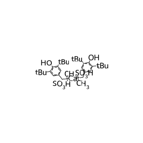 CC(C)(C)c1cc(C[C](C)([Ca][C](C)(Cc2cc(C(C)(C)C)c(O)c(C(C)(C)C)c2)S(=O)(=O)O)S(=O)(=O)O)cc(C(C)(C)C)c1O